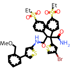 CCS(=O)(=O)c1ccc(C(C(=O)Nc2cc(-c3ccccc3COC)cs2)C(C(N)=O)(c2ccc(S(=O)(=O)CC)cc2)c2cc(Br)cs2)cc1